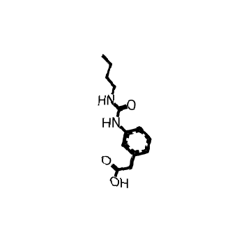 CCCCNC(=O)Nc1cccc(CC(=O)O)c1